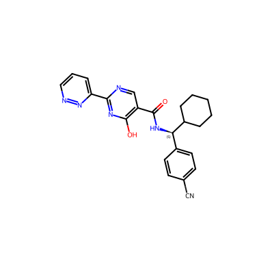 N#Cc1ccc([C@@H](NC(=O)c2cnc(-c3cccnn3)nc2O)C2CCCCC2)cc1